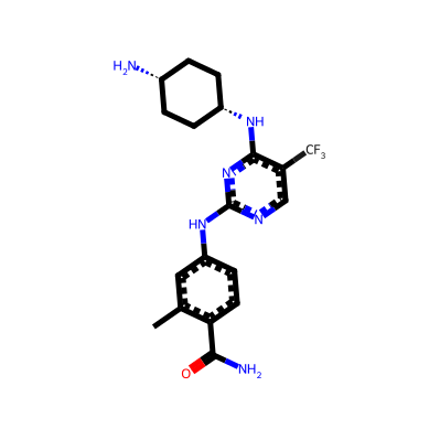 Cc1cc(Nc2ncc(C(F)(F)F)c(N[C@H]3CC[C@@H](N)CC3)n2)ccc1C(N)=O